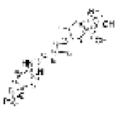 CC(C)N(C[C@H]1O[C@@H](N)[C@H](O)[C@@H]1O)[C@H]1C[C@@H](CCC2Nc3ccc(OC(F)(F)F)cc3N2)C1